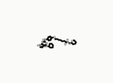 O=C(CCCCCCOc1ccc(Nc2nc(NC3CCCCC3)c3cc[nH]c3n2)cc1)NOC1CCCCO1